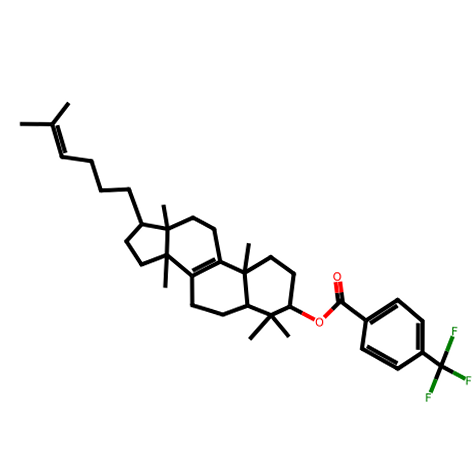 CC(C)=CCCCC1CCC2(C)C3=C(CCC12C)C1(C)CCC(OC(=O)c2ccc(C(F)(F)F)cc2)C(C)(C)C1CC3